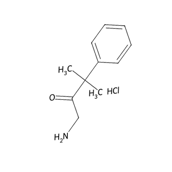 CC(C)(C(=O)CN)c1ccccc1.Cl